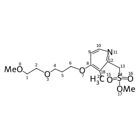 COCCOCCCOc1ccnc(CS(=O)(=O)OC)c1C